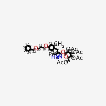 CC(=O)OC[C@H]1O[C@@H](Oc2n[nH]c(C(C)C)c2Cc2ccc(OCCCOCc3ccccc3)cc2C)[C@H](OC(C)=O)[C@@H](OC(C)=O)[C@H]1OC(C)=O